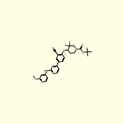 COc1cc(Nc2nccc(-c3ccc(OC4CCN(C(=O)OC(C)(C)C)CC4(F)F)c(C#N)c3)n2)ccn1